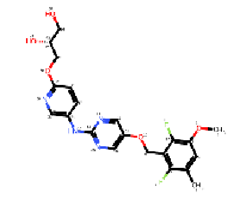 COc1cc(C)c(F)c(COc2cnc(Nc3ccc(OC[C@H](O)CO)nc3)nc2)c1F